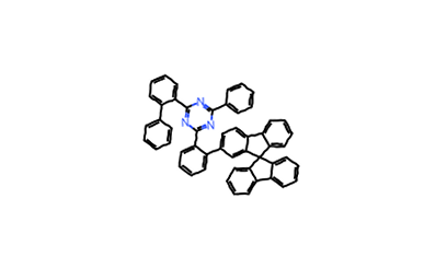 c1ccc(-c2nc(-c3ccccc3-c3ccccc3)nc(-c3ccccc3-c3ccc4c(c3)C3(c5ccccc5-c5ccccc53)c3ccccc3-4)n2)cc1